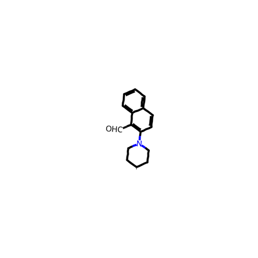 O=Cc1c(N2CC[CH]CC2)ccc2ccccc12